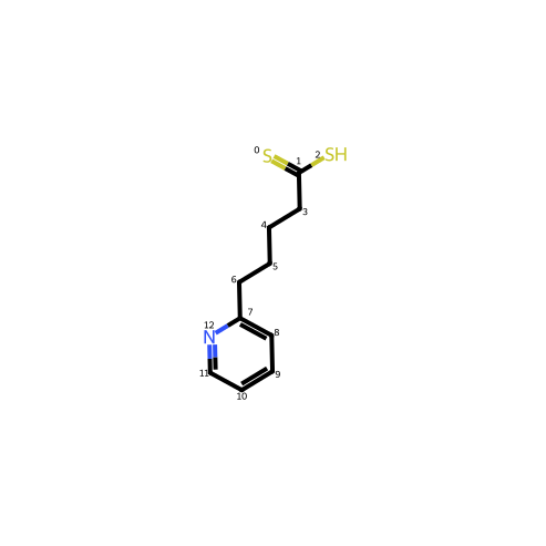 S=C(S)CCCCc1ccccn1